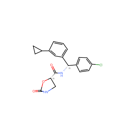 O=C1NC[C@@H](C(=O)N[C@@H](c2ccc(Cl)cc2)c2cccc(C3CC3)c2)O1